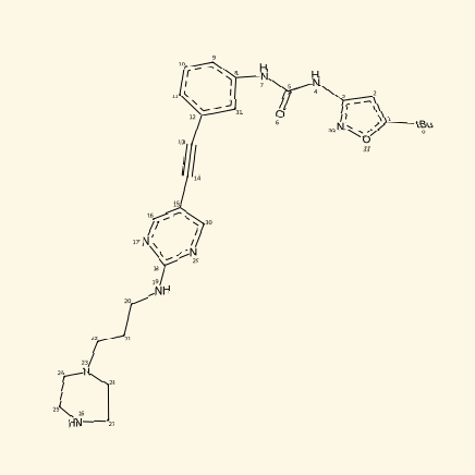 CC(C)(C)c1cc(NC(=O)Nc2cccc(C#Cc3cnc(NCCCN4CCNCC4)nc3)c2)no1